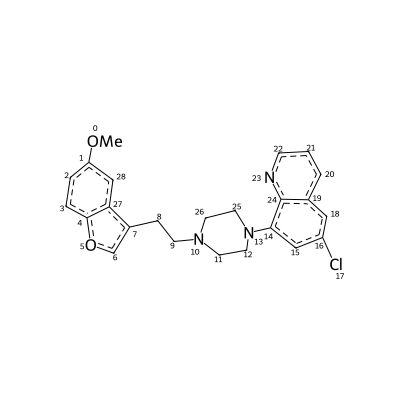 COc1ccc2occ(CCN3CCN(c4cc(Cl)cc5cccnc45)CC3)c2c1